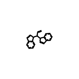 C=C[C](C1C=Cc2ccccc21)C1C=Cc2ccccc21